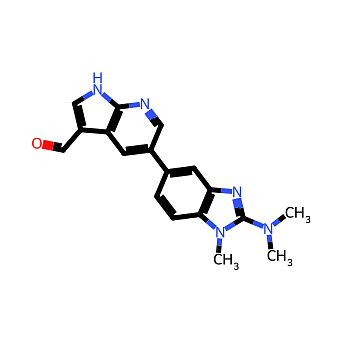 CN(C)c1nc2cc(-c3cnc4[nH]cc(C=O)c4c3)ccc2n1C